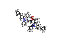 Cc1ccc(N(c2ccc(-c3ccccc3)cc2)c2cc3c4cc(N(c5ccc(C)cc5)c5ccc(-c6ccccc6)cc5)c5ccccc5c4oc3c3ccccc23)cc1